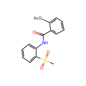 CC(=O)Oc1ccccc1C(=O)Nc1ccccc1S(C)(=O)=O